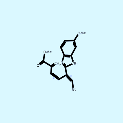 C=C(/C=C\C(=C/CC)c1nc2ccc(OC)cc2[nH]1)C(=O)OC